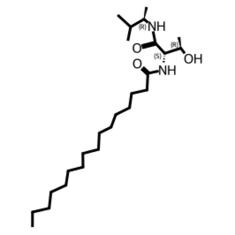 CCCCCCCCCCCCCCCC(=O)N[C@H](C(=O)N[C@H](C)C(C)C)[C@@H](C)O